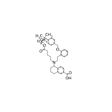 CCOC(=O)CCCCN(CCc1ccccc1OCc1ccc(C(C)(C)C)cc1)C1CCCc2cc(C(=O)O)ccc21